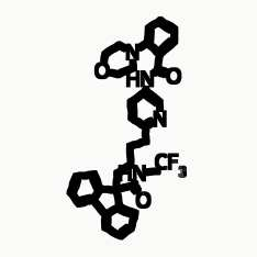 O=C(Nc1ccc(CCCCC2(C(=O)NCC(F)(F)F)c3ccccc3-c3ccccc32)nc1)c1ccccc1N1CCOCC1